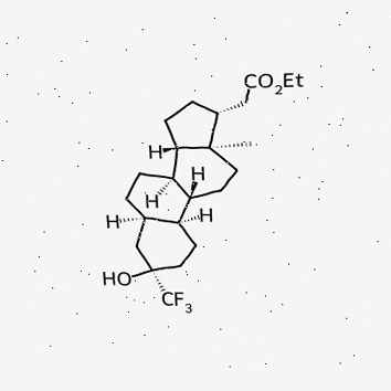 CCOC(=O)C[C@H]1CC[C@H]2[C@@H]3CC[C@@H]4C[C@@](O)(C(F)(F)F)CC[C@@H]4[C@H]3CC[C@]12C